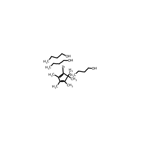 CC1=C(C)C(C)(C)[C]([Zr])=C1C.CCCCO.CCCCO.CCCCO